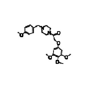 COc1ccc(CN2CCN(C(=O)COc3cc(OC)c(OC)c(OC)c3)CC2)cc1